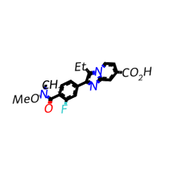 CCc1c(-c2ccc(C(=O)N(C)OC)c(F)c2)nc2cc(C(=O)O)ccn12